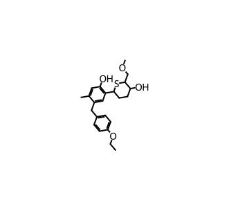 CCOc1ccc(Cc2cc(C3CCC(O)C(COC)S3)c(O)cc2C)cc1